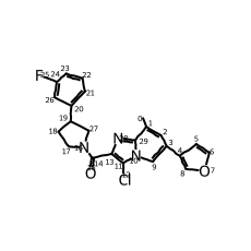 Cc1cc(-c2ccoc2)cn2c(Cl)c(C(=O)N3CCC(c4cccc(F)c4)C3)nc12